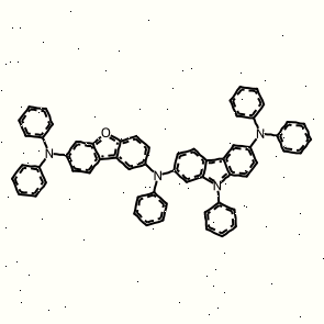 c1ccc(N(c2ccccc2)c2ccc3c(c2)oc2ccc(N(c4ccccc4)c4ccc5c6cc(N(c7ccccc7)c7ccccc7)ccc6n(-c6ccccc6)c5c4)cc23)cc1